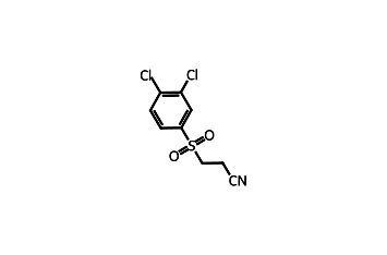 N#CCCS(=O)(=O)c1ccc(Cl)c(Cl)c1